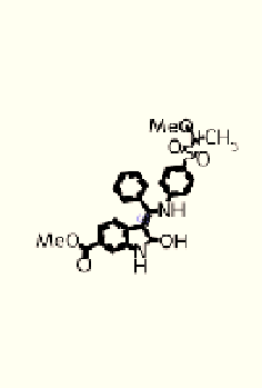 COC(=O)c1ccc2c(c1)NC(O)/C2=C(\Nc1ccc(S(=O)(=O)N(C)OC)cc1)c1ccccc1